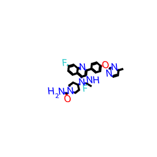 Cc1ccnc(Oc2ccc(-c3nc4cc(F)ccc4c4c3NC(C)(F)N4C3CCN(C(N)=O)CC3)cc2)n1